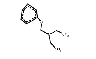 CCN(CC)COc1ccccc1